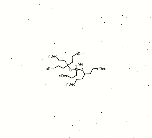 CCCCCCCCCCCCC(CCCCCCCCCCCC)O[Si](CCCCCCCCCCCC)(OC)OC(CCCCCCCCCCCC)(CCCCCCCCCCCC)CCCCCCCCCCCC